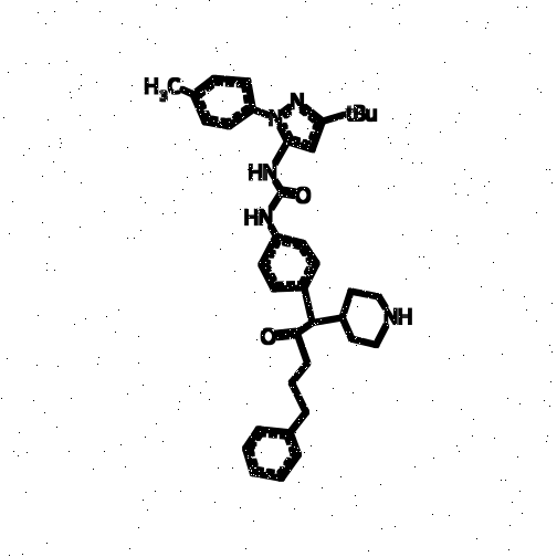 Cc1ccc(-n2nc(C(C)(C)C)cc2NC(=O)Nc2ccc(C(C(=O)CCCc3ccccc3)C3CCNCC3)cc2)cc1